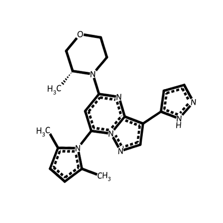 Cc1ccc(C)n1-c1cc(N2CCOC[C@H]2C)nc2c(-c3ccn[nH]3)cnn12